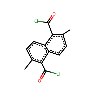 Cc1ccc2c(C(=O)Cl)c(C)ccc2c1C(=O)Cl